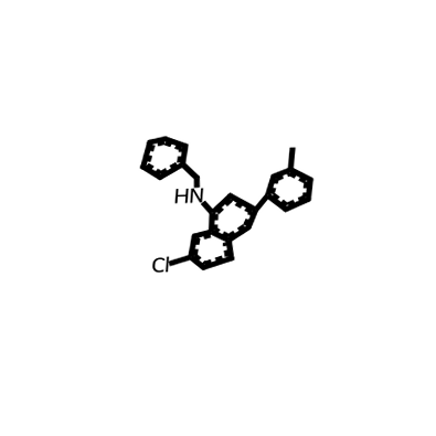 Cc1cccc(-c2cc(NCc3ccccc3)c3cc(Cl)ccc3c2)c1